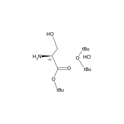 CC(C)(C)OC(=O)[C@@H](N)CO.CC(C)(C)OC(C)(C)C.Cl